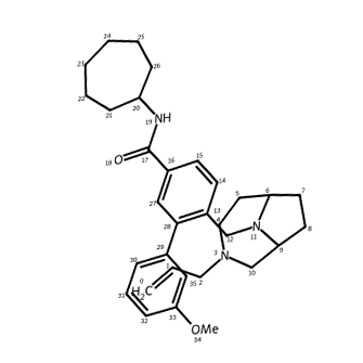 C=CCN1CCC2CCC(C1)N2Cc1ccc(C(=O)NC2CCCCCC2)cc1-c1cccc(OC)c1